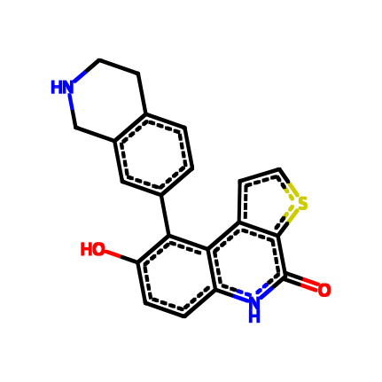 O=c1[nH]c2ccc(O)c(-c3ccc4c(c3)CNCC4)c2c2ccsc12